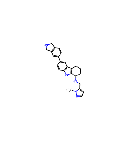 Cn1nccc1CNC1CCCc2c1[nH]c1ccc(-c3ccc4c(c3)CNC4)cc21